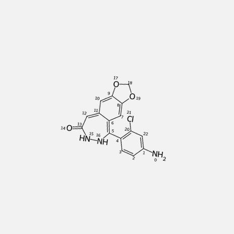 Nc1ccc(C2=c3cc4c(cc3=CC(=O)NN2)OCO4)c(Cl)c1